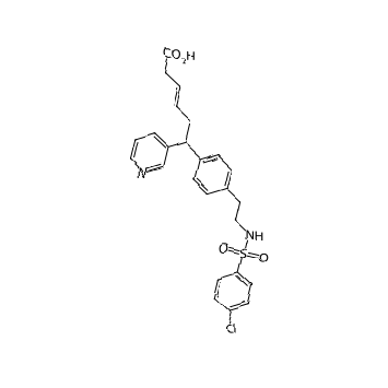 O=C(O)CC=CCC(c1ccc(CCNS(=O)(=O)c2ccc(Cl)cc2)cc1)c1cccnc1